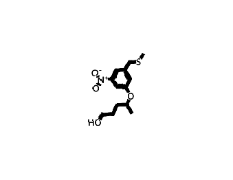 CSCc1cc(OC(C)CCCO)cc([N+](=O)[O-])c1